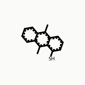 Cc1c2ccccc2c(C)c2c(S)cccc12